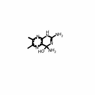 Cc1nc2c(nc1C)C(N)(O)N=C(N)N2